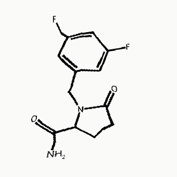 NC(=O)C1CCC(=O)N1Cc1cc(F)cc(F)c1